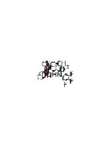 C=C/C(=C\C(=C(/C)Cl)S(=O)(=O)C1CC2CCC(C1)C2(O)CN=[N+]=[N-])C(=O)Nc1cc(F)c(F)c(F)c1